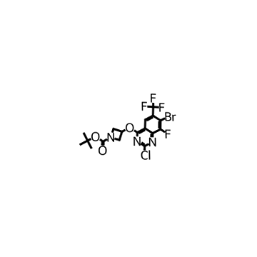 CC(C)(C)OC(=O)N1CC(Oc2nc(Cl)nc3c(F)c(Br)c(C(F)(F)F)cc23)C1